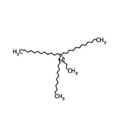 CCCCCCCCCCCC[PH](CCCCC)(CCCCCCCCCCCC)CCCCCCCCCCCC